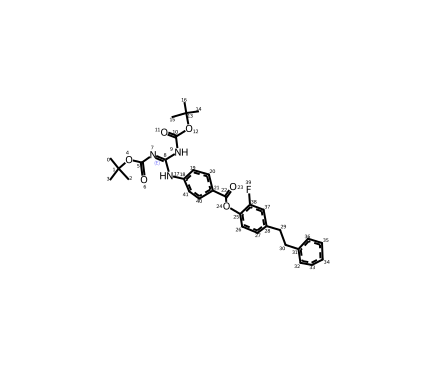 CC(C)(C)OC(=O)/N=C(/NC(=O)OC(C)(C)C)Nc1ccc(C(=O)Oc2ccc(CCc3ccccc3)cc2F)cc1